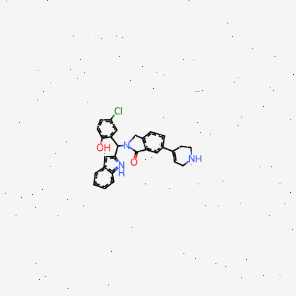 O=C1c2cc(C3=CCNCC3)ccc2CN1C(c1cc2ccccc2[nH]1)c1cc(Cl)ccc1O